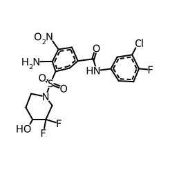 Nc1c([N+](=O)[O-])cc(C(=O)Nc2ccc(F)c(Cl)c2)cc1S(=O)(=O)N1CCC(O)C(F)(F)C1